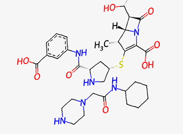 C[C@@H](O)[C@H]1C(=O)N2C(C(=O)O)=C(S[C@@H]3CN[C@H](C(=O)Nc4cccc(C(=O)O)c4)C3)[C@H](C)[C@H]12.O=C(CN1CCNCC1)NC1CCCCC1